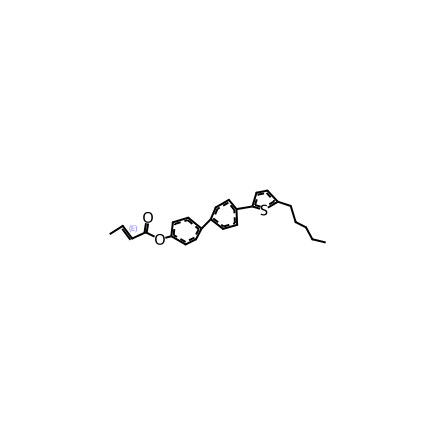 C/C=C/C(=O)Oc1ccc(-c2ccc(-c3ccc(CCCCC)s3)cc2)cc1